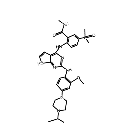 CNC(=O)c1cc(P(C)(C)=O)ccc1Nc1nc(Nc2ccc(N3CCN(C(C)C)CC3)cc2OC)nc2[nH]ccc12